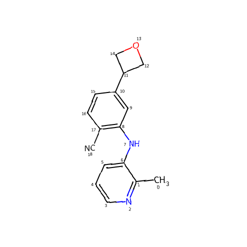 Cc1ncccc1Nc1cc(C2COC2)ccc1C#N